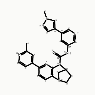 Cc1cc(-c2ccc3c(n2)N(C(=O)Nc2cncc(-c4cnn(C)c4)c2)C2CCN3C2)ccn1